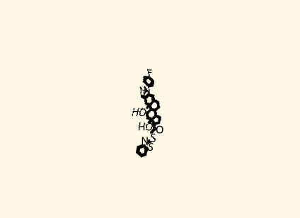 CC12Cc3cnn(-c4ccc(F)cc4)c3C=C1CCC1C2[C@@H](O)CC2(C)C1CC[C@]2(O)C(=O)CSc1nc2ccccc2s1